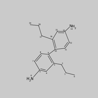 CCCc1cc(N)ccc1-c1ccc(N)cc1CCC